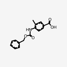 Cc1cc(C(=O)O)ccc1NC(=O)OCc1ccccc1